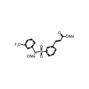 COC(=O)C=Cc1cccc(S(=O)(=O)N(OC)c2cccc(C(F)(F)F)c2)c1